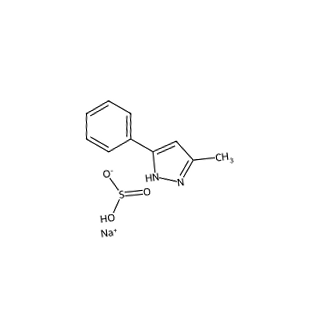 Cc1cc(-c2ccccc2)[nH]n1.O=S([O-])O.[Na+]